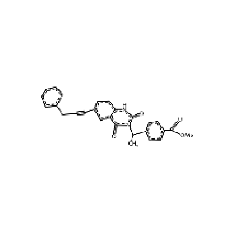 COC(=O)c1ccc(C(C)n2c(=O)[nH]c3ccc(C#CCc4ccccc4)cc3c2=O)cc1